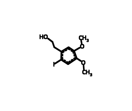 COc1cc(I)c(CCO)cc1OC